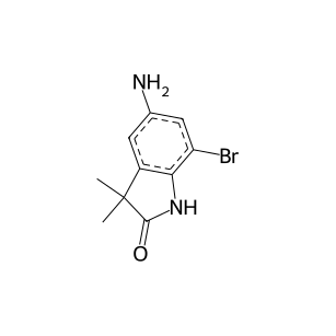 CC1(C)C(=O)Nc2c(Br)cc(N)cc21